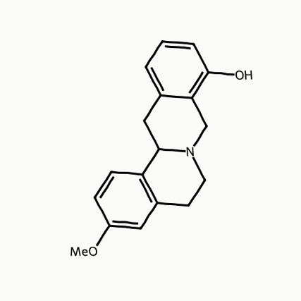 COc1ccc2c(c1)CCN1Cc3c(O)cccc3CC21